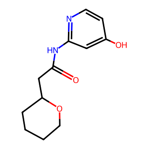 O=C(CC1CCCCO1)Nc1cc(O)ccn1